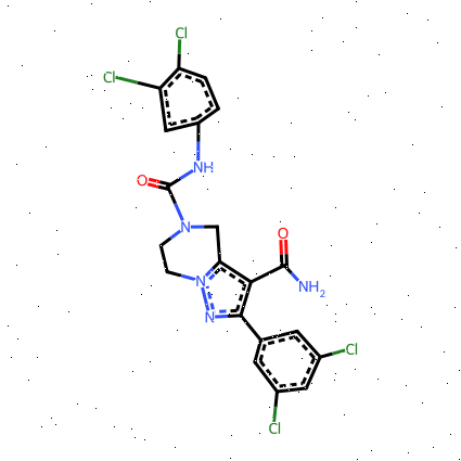 NC(=O)c1c(-c2cc(Cl)cc(Cl)c2)nn2c1CN(C(=O)Nc1ccc(Cl)c(Cl)c1)CC2